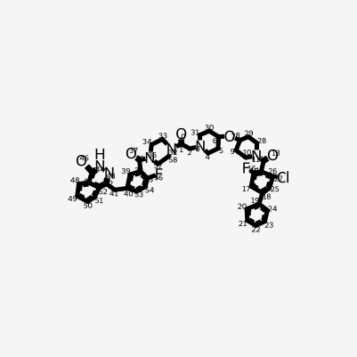 O=C(CN1CCC(OC2CCN(C(=O)c3c(F)cc(-c4ccccc4)cc3Cl)CC2)CC1)N1CCN(C(=O)c2cc(Cc3n[nH]c(=O)c4ccccc34)ccc2F)CC1